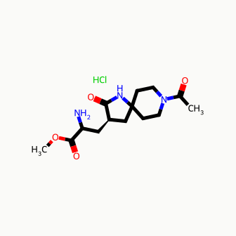 COC(=O)C(N)C[C@@H]1CC2(CCN(C(C)=O)CC2)NC1=O.Cl